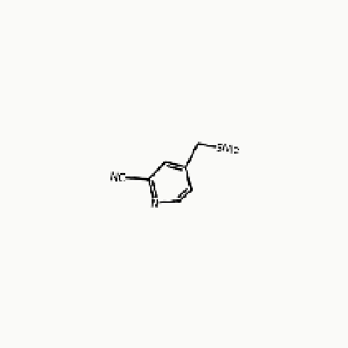 [CH2]SCc1ccnc(C#N)c1